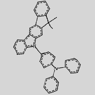 CC1(C)c2ccccc2-c2cc3c4ccccc4n(-c4ccc(N(c5ccccc5)c5ccccc5)cc4)c3cc21